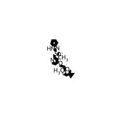 Cc1c(OCCC2(C)OCC3(CC3)CO2)ccnc1C[S+]([O-])c1nc2ccccc2[nH]1